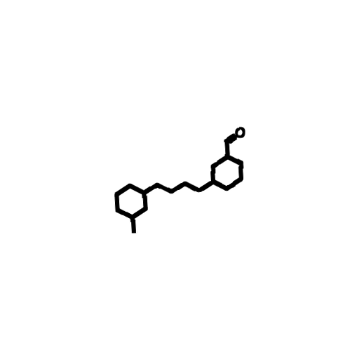 CC1CCCC(CCCCC2CCCC(C=O)C2)C1